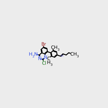 CCC/C=C/c1cc(C)c(-c2cc(Br)cc3c(N)nc(Cl)nc23)c(C)c1